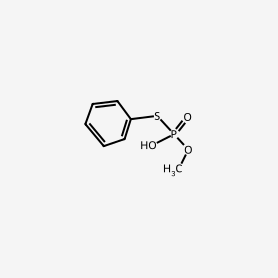 COP(=O)(O)Sc1ccccc1